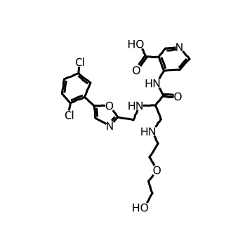 O=C(O)c1cnccc1NC(=O)C(CNCCOCCO)NCc1ncc(-c2cc(Cl)ccc2Cl)o1